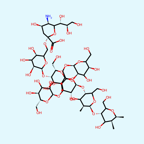 CC1C(O)[C@H](O[C@@H]2OC(CO[C@]3(C(=O)O)C[C@@H](O)[C@@H](N)C([C@H](O)[C@H](O)CO)O3)[C@H](O)C(O)[C@@H]2O)[C@H](CO)O[C@H]1O[C@@H]1C(O)[C@H](O)C(CO)O[C@@H]1OCC1O[C@@H](O[C@@H]2C(CO)O[C@@H](O[C@@H]3C(CO)O[C@@H](C)[C@@H](C)C3O)[C@@H](C)C2O)[C@H](O)C(O[C@H]2O[C@H](CO)[C@@H](O)C(O)C2O)[C@@H]1O